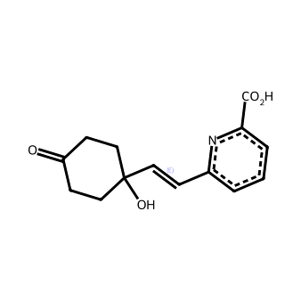 O=C1CCC(O)(/C=C/c2cccc(C(=O)O)n2)CC1